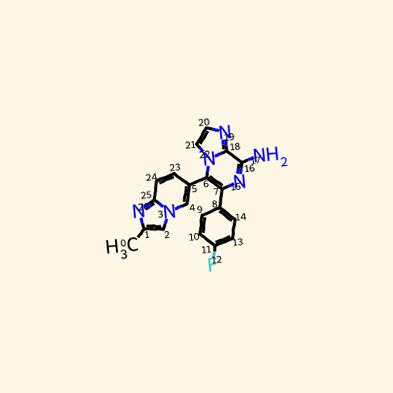 Cc1cn2cc(-c3c(-c4ccc(F)cc4)nc(N)c4nccn34)ccc2n1